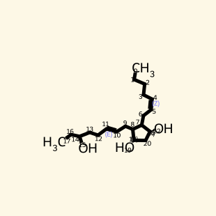 CCCC/C=C\CC1C(C/C=C/CCC(O)CC)[C@@H](O)C[C@H]1O